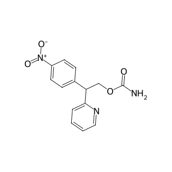 NC(=O)OCC(c1ccc([N+](=O)[O-])cc1)c1ccccn1